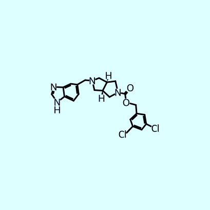 O=C(OCc1cc(Cl)cc(Cl)c1)N1C[C@@H]2CN(Cc3ccc4[nH]cnc4c3)C[C@H]2C1